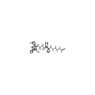 C=CCCCCCC(=O)NCCCCC1C(OC)=CC(=O)N1C